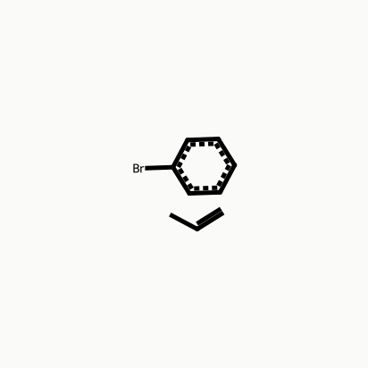 Brc1ccccc1.C=CC